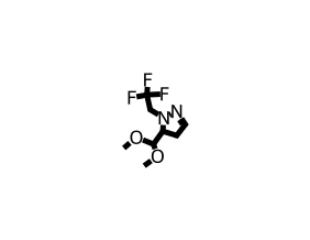 COC(OC)C1CC=NN1CC(F)(F)F